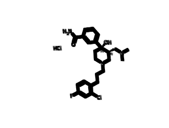 CN(C)C[C@@H]1CN(CCCc2ccc(F)cc2Cl)CC[C@@]1(O)c1cccc(C(N)=O)c1.Cl